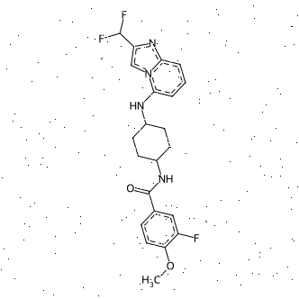 COc1ccc(C(=O)NC2CCC(Nc3cccc4nc(C(F)F)cn34)CC2)cc1F